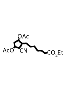 CCOC(=O)CCCCCCC1C(OC(C)=O)CC(OC(C)=O)C1C#N